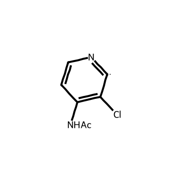 CC(=O)Nc1ccn[c]c1Cl